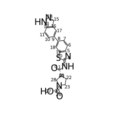 O=C(Nc1nc2ccc(-c3ccc4[nH]ncc4c3)cc2s1)[C@@H]1CCN(C(=O)O)C1